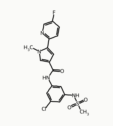 Cn1cc(C(=O)Nc2cc(Cl)cc(NS(C)(=O)=O)c2)cc1-c1ccc(F)cn1